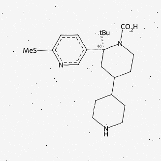 CSc1ccc([C@]2(C(C)(C)C)CC(C3CCNCC3)CCN2C(=O)O)cn1